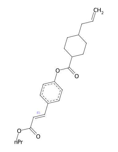 [CH2]CCOC(=O)/C=C/c1ccc(OC(=O)C2CCC(CC=C)CC2)cc1